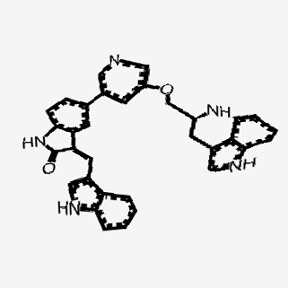 N[C@H](COc1cncc(-c2ccc3c(c2)C(=Cc2c[nH]c4ccccc24)C(=O)N3)c1)Cc1c[nH]c2ccccc12